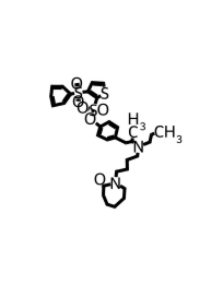 CCCN(CCCCN1CCCCCC1=O)C(C)Cc1ccc(OS(=O)(=O)c2sccc2S(=O)(=O)c2ccccc2)cc1